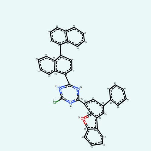 Clc1nc(-c2ccc(-c3cccc4ccccc34)c3ccccc23)nc(-c2cc(-c3ccccc3)cc3c2oc2ccccc23)n1